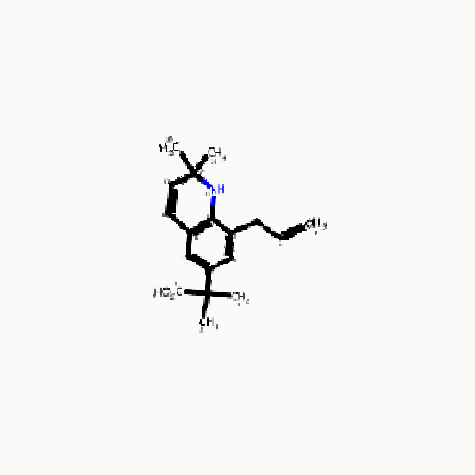 C=CCc1cc(C(C)(C)C(=O)O)cc2c1NC(C)(C)C=C2